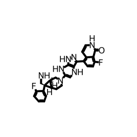 NC[C@]1(c2ccccc2F)[C@@H]2CCN(C3=CNc4c(-c5ccc(F)c6c(=O)[nH]ccc56)n[nH]c4N3)C[C@@H]21